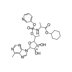 Cc1ncnc2c1ncn2C1OC(C(C)OP(=O)(NC(C)C(=O)OC2CCCCC2)Oc2cccnc2)[C@@H](O)[C@H]1O